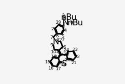 CCCCN(CCCC)c1ccc(CN2CCC(=C3c4ccccc4Sc4ccccc43)CC2)cc1